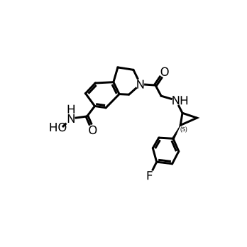 O=C(NO)c1ccc2c(c1)CN(C(=O)CNC1C[C@H]1c1ccc(F)cc1)CC2